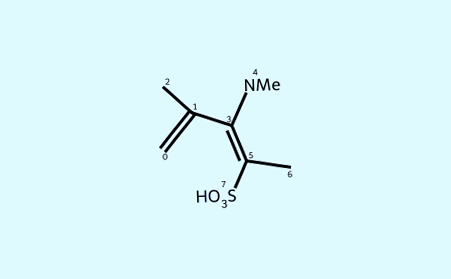 C=C(C)C(NC)=C(C)S(=O)(=O)O